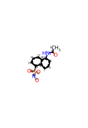 CC(=O)Nc1cccc2c(S(=O)(=O)N=O)cccc12